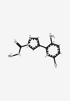 CC(C)(C)OC(=O)n1cc(-c2nc(Cl)ccc2N)cn1